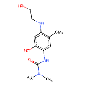 COc1cc(NC(=O)N(C)C)c(O)cc1NCCO